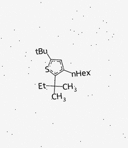 CCCCCCc1cc(C(C)(C)C)sc1C(C)(C)CC